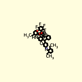 CCc1cccc(CC)c1/N=c1\ccc2c(-c3ccccc3S(=O)(=O)NS(=O)(=O)c3c(F)c(F)c(F)c(F)c3F)c3ccc(Nc4c(CC)cccc4CC)cc3oc-2c1